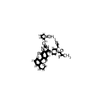 C=C(F)C(=O)N1CCN(c2nc(OC[C@@H]3CCCN3C)nc3c(F)c(-c4cccc5c4SCCC5)c(F)cc23)C[C@@H]1CC#N